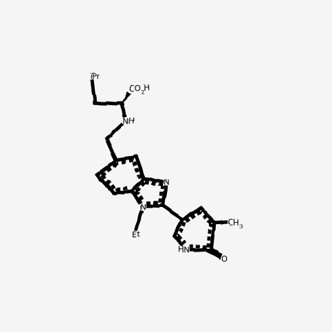 CCn1c(-c2c[nH]c(=O)c(C)c2)nc2cc(CN[C@@H](CC(C)C)C(=O)O)ccc21